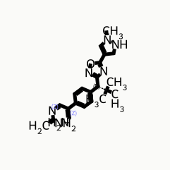 C=C(N)/N=C\C(=C/N)c1ccc([C@H](c2noc(C3=CN(C)NC3)n2)C(C)(C)C)cc1